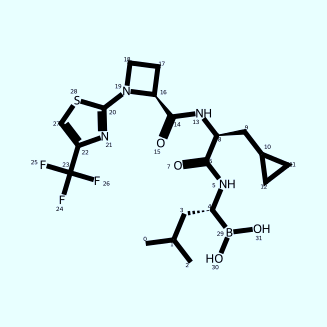 CC(C)C[C@H](NC(=O)[C@H](CC1CC1)NC(=O)[C@@H]1CCN1c1nc(C(F)(F)F)cs1)B(O)O